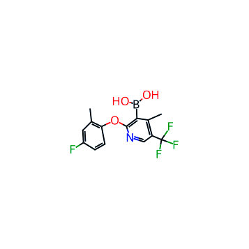 Cc1cc(F)ccc1Oc1ncc(C(F)(F)F)c(C)c1B(O)O